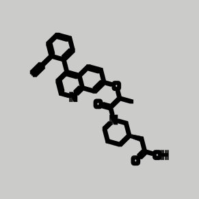 C#Cc1ccccc1-c1ccnc2cc(OC(C)C(=O)N3CCC[C@H](CC(=O)O)C3)ccc12